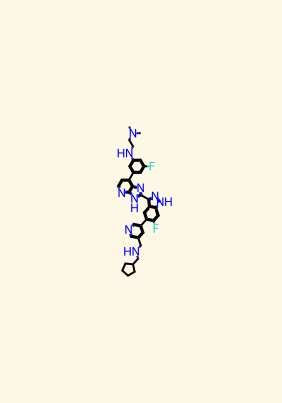 CN(C)CCNc1cc(F)cc(-c2ccnc3[nH]c(-c4n[nH]c5cc(F)c(-c6cncc(CNCC7CCCC7)c6)cc45)nc23)c1